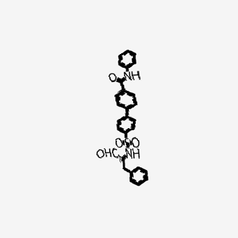 O=C[C@@H](Cc1ccccc1)NS(=O)(=O)c1ccc(-c2ccc(C(=O)Nc3ccccc3)cc2)cc1